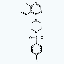 C/C=C(/C)c1c(C)ncnc1N1CCN(S(=O)(=O)c2ccc(Cl)cc2)CC1